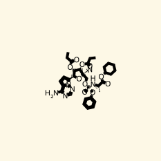 CCC(=O)O[C@H]1[C@H](c2ccc3c(N)ncnn23)O[C@](C#N)(COP(=O)(N[C@@H](C)C(=O)OC2CCCCC2)Oc2ccccc2)[C@H]1OC(=O)CC